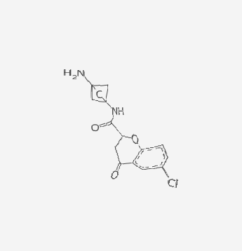 NC12CC(NC(=O)C3CC(=O)c4cc(Cl)ccc4O3)(C1)C2